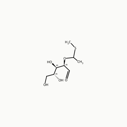 CSC(C)O[C@@H](C=O)[C@H](O)[C@H](O)CO